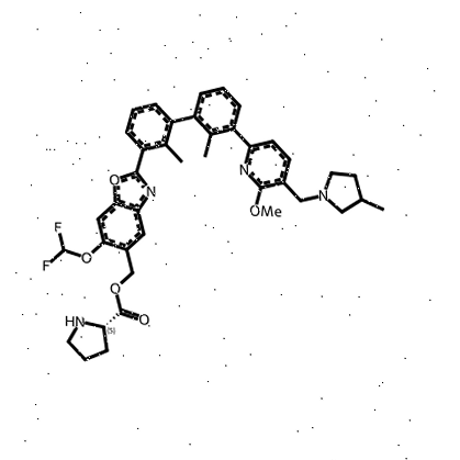 COc1nc(-c2cccc(-c3cccc(-c4nc5cc(COC(=O)[C@@H]6CCCN6)c(OC(F)F)cc5o4)c3C)c2C)ccc1CN1CCC(C)C1